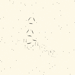 CN1C2CCC1CC(N1CCC(n3cc(-c4ccc(Oc5ccccc5)cc4)c4c(N)ncnc43)CC1)C2